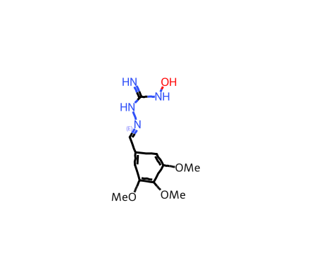 COc1cc(/C=N/NC(=N)NO)cc(OC)c1OC